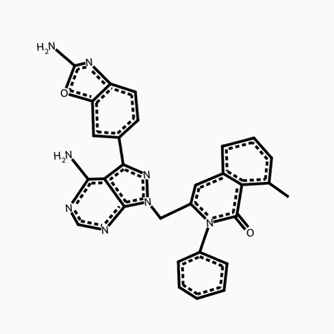 Cc1cccc2cc(Cn3nc(-c4ccc5nc(N)oc5c4)c4c(N)ncnc43)n(-c3ccccc3)c(=O)c12